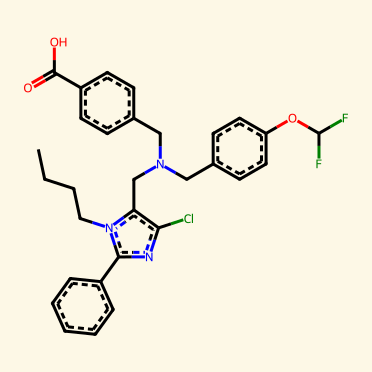 CCCCn1c(-c2ccccc2)nc(Cl)c1CN(Cc1ccc(OC(F)F)cc1)Cc1ccc(C(=O)O)cc1